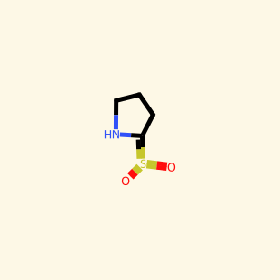 O=S(=O)=C1CCCN1